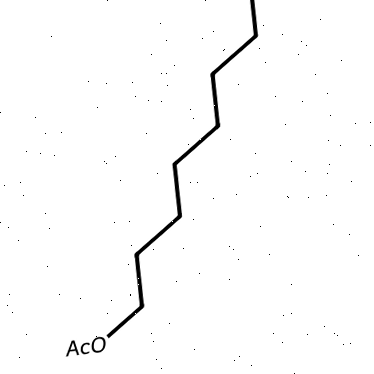 CCCCCCCCCCCCCOC(C)=O